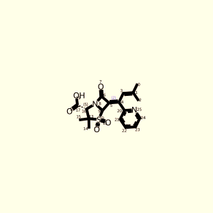 CC(C)=C/C(=C1\C(=O)N2C1S(=O)(=O)C(C)(C)[C@@H]2C(=O)O)c1ccccn1